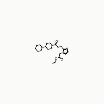 CCOC(=O)Cn1ccnc1CCC(=O)N1CCC(N2CCCCC2)CC1